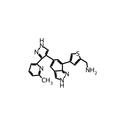 Cc1cccc(-c2n[nH]cc2-c2cc(-c3csc(CN)c3)c3n[nH]cc3c2)n1